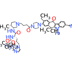 CCc1cc2c(cc1N1CCN(C(=O)CCCN3CC[C@@H](C)[C@@H](NC(=O)[C@H](CCCn4ccnc4N)NC(=O)OC(C)(C)C)C3)CC1)C(C)(C)c1[nH]c3cc(C#N)ccc3c1C2=O